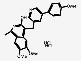 COc1ccc(-c2cncc(Cc3c(O)nc(C)c4cc(OC)c(OC)cc34)c2)cc1.Cl.Cl